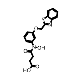 O=C(O)CCC(=O)N(O)c1cccc(OCc2nc3ccccc3s2)c1